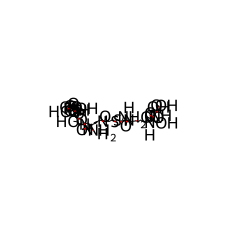 Nc1nc(=O)n([C@H]2CC(O)[C@@H](COP(=O)(O)OP(=O)(O)OP(=O)(O)O)O2)cc1C#CCNC(=O)CCSSCC(N)C(=O)NCCCCCC(=O)NC(CC(=O)O)C(=O)NC(CC(=O)O)C(=O)O